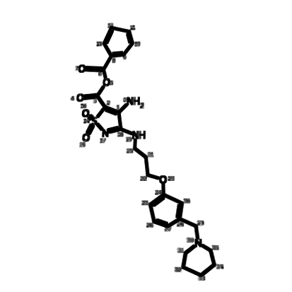 NC1=C(C(=O)OC(=O)c2ccccc2)S(=O)(=O)N=C1NCCCOc1cccc(CN2CCCCC2)c1